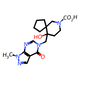 Cn1ncc2c(=O)n(CC3(O)CCN(C(=O)O)CC34CCCC4)cnc21